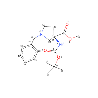 COC(=O)[C@@]1(NC(=O)OC(C)(C)C)CCN(Cc2ccccc2)C1